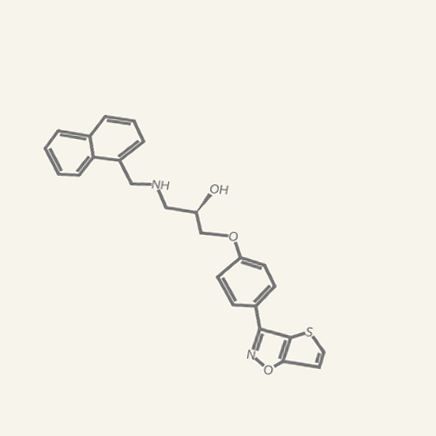 O[C@H](CNCc1cccc2ccccc12)COc1ccc(-c2noc3ccsc23)cc1